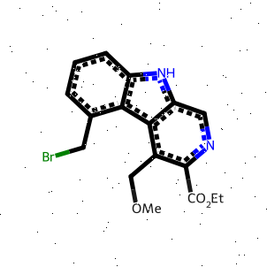 CCOC(=O)c1ncc2[nH]c3cccc(CBr)c3c2c1COC